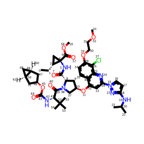 CC[C@@H]1C[C@]1(NC(=O)[C@@H]1C[C@@H](Oc2cc(-n3ccc(NC(C)C)n3)nc3c(Cl)c(OCCOC)ccc23)CN1C(=O)[C@@H](NC(=O)O[C@@H]1C[C@@H]2C[C@@H]2C1)C(C)(C)C)C(=O)OC